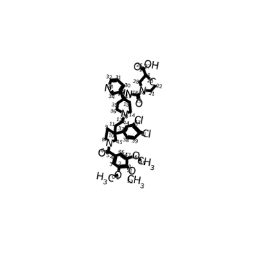 COc1cc(C(=O)N2CCC(CCN3CCC(NC(=O)N4CCCC(C(=O)O)C4)(c4cccnc4)CC3)(c3ccc(Cl)c(Cl)c3)C2)cc(OC)c1OC